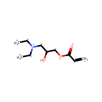 C=CC(=O)OCC(O)CN(CC)CC